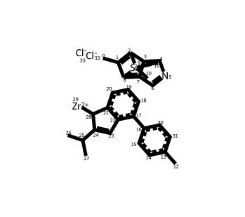 CC1=C2C3=CN=CC3=C1[Si]2(C)C.Cc1ccc(-c2cccc3c2C=C(C(C)C)[CH]3[Zr+2])cc1.[Cl-].[Cl-]